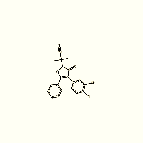 CC(C)(C#N)C1OC(c2ccncc2)=C(c2ccc(Cl)c(O)c2)C1=O